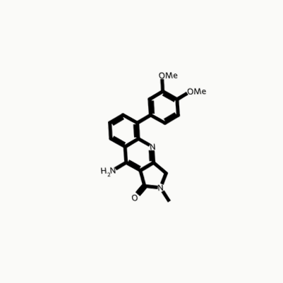 COc1ccc(-c2cccc3c(N)c4c(nc23)CN(C)C4=O)cc1OC